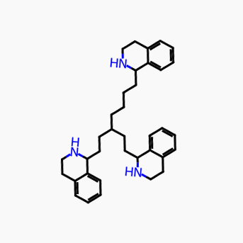 c1ccc2c(c1)CCNC2CCCCC(CCC1NCCc2ccccc21)CCC1NCCc2ccccc21